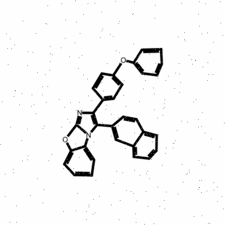 c1ccc(Oc2ccc(-c3nc4oc5ccccc5n4c3-c3ccc4ccccc4c3)cc2)cc1